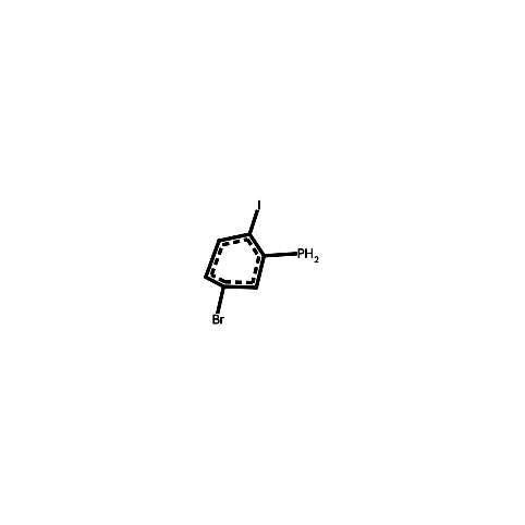 Pc1cc(Br)ccc1I